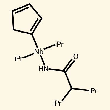 CC(C)C(C(=O)[NH][Nb]([C]1=CC=CC1)([CH](C)C)[CH](C)C)C(C)C